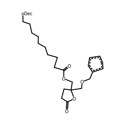 CCCCCCCCCCCCCCCCCCCC(=O)OCC1(COCc2ccccc2)CCC(=O)O1